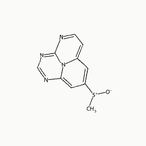 C[S+]([O-])C1=CC2=CC=NC3=NC=NC(=C1)N23